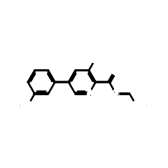 Cc1cccc(-c2cnc(C(=O)NCC=O)c(O)c2)c1